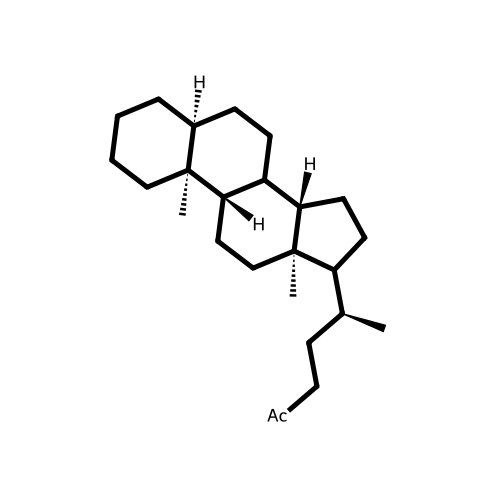 CC(=O)CC[C@H](C)C1CC[C@H]2C3CC[C@@H]4CCCC[C@]4(C)[C@H]3CC[C@]12C